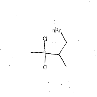 CCCCC(C)C(C)(Cl)Cl